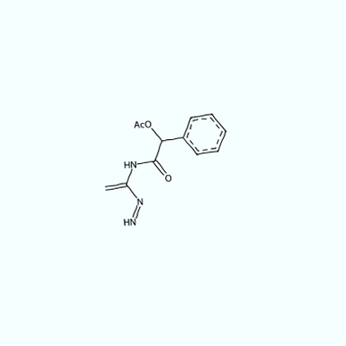 C=C(N=N)NC(=O)C(OC(C)=O)c1ccccc1